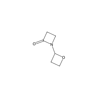 O=C1CCN1C1CCO1